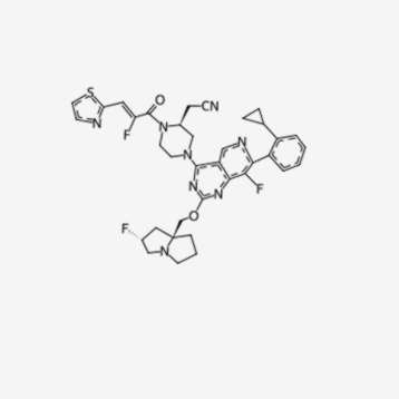 N#CC[C@H]1CN(c2nc(OC[C@@]34CCCN3C[C@H](F)C4)nc3c(F)c(-c4ccccc4C4CC4)ncc23)CCN1C(=O)/C(F)=C/c1nccs1